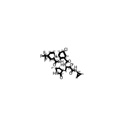 C[C@@H]1C[C@@H](CC(NC(=O)c2cc(Cl)ccc2NC(=O)c2cc(C(F)(F)F)ccn2)C(=O)C(=O)NC2CC2)C(=O)N1